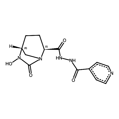 O=C(NNC(=O)[C@@H]1CC[C@@H]2CN1C(=O)N2O)c1ccncc1